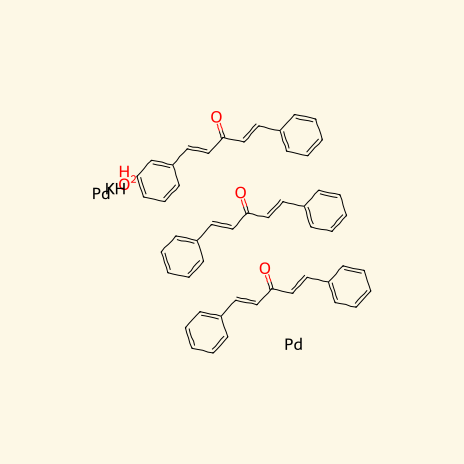 O.O=C(C=Cc1ccccc1)C=Cc1ccccc1.O=C(C=Cc1ccccc1)C=Cc1ccccc1.O=C(C=Cc1ccccc1)C=Cc1ccccc1.[KH].[Pd].[Pd]